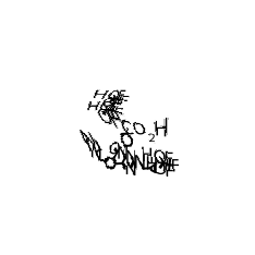 CN1CCN(Cc2ccc3c(c2)c(=O)n([C@H]2CC[C@H](C(=O)O)CC2)c2nc(NCC4CC4)ncc32)CC1.O=C(O)C(F)(F)F.O=C(O)C(F)(F)F.O=C(O)C(F)(F)F